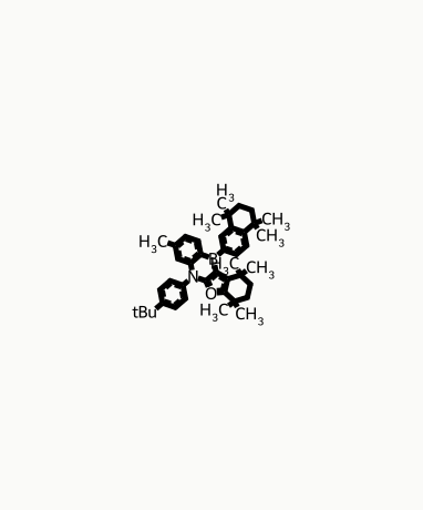 Cc1ccc2c(c1)N(c1ccc(C(C)(C)C)cc1)c1oc3c(c1B2c1ccc2c(c1)C(C)(C)CCC2(C)C)C(C)(C)CCC3(C)C